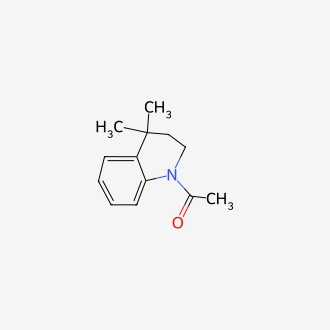 CC(=O)N1CCC(C)(C)c2ccccc21